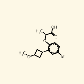 CO[C@H]1C[C@@H](c2cc(Br)ccc2O[C@@H](C)C(=O)O)C1